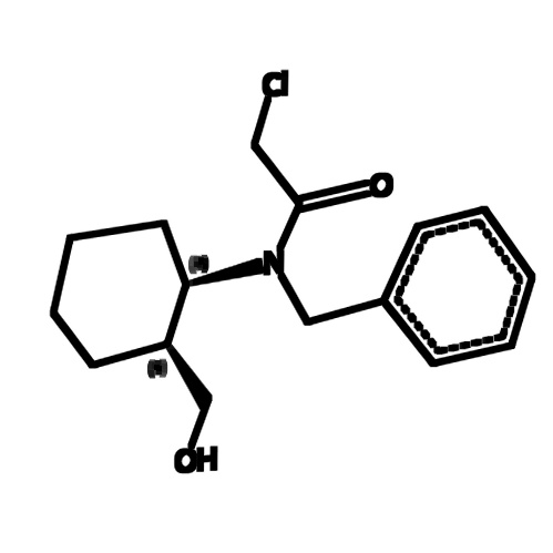 O=C(CCl)N(Cc1ccccc1)[C@@H]1CCCC[C@@H]1CO